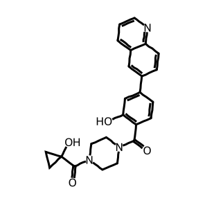 O=C(c1ccc(-c2ccc3ncccc3c2)cc1O)N1CCN(C(=O)C2(O)CC2)CC1